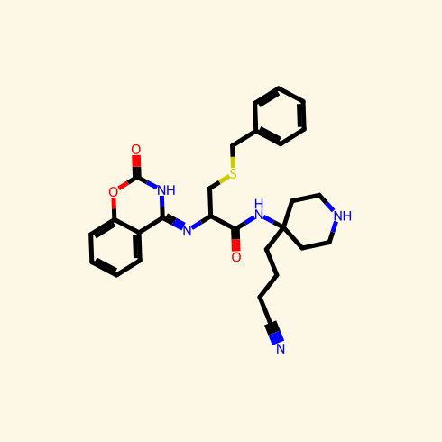 N#CCCCC1(NC(=O)C(CSCc2ccccc2)N=c2[nH]c(=O)oc3ccccc23)CCNCC1